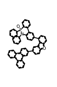 O=P1(c2ccccc2)c2ccccc2-c2cc(-c3cccc4oc5ccc(-c6ccc7c8ccccc8c8ccccc8c7c6)cc5c34)ccc2N1c1ccccc1